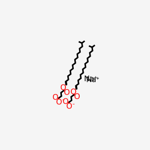 CC(C)CCCCCCCCCCCCCC=COC(=O)CCC(=O)[O-].CC(C)CCCCCCCCCCCCCC=COC(=O)CCC(=O)[O-].[Na+].[Na+]